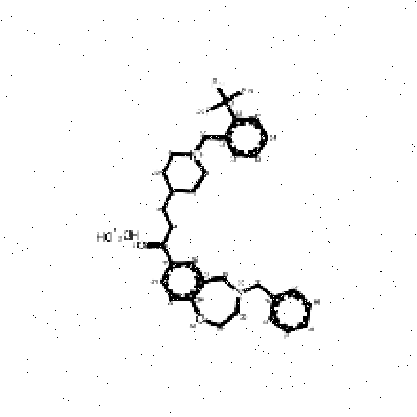 Cl.Cl.O=C(CCC1CCN(Cc2ccccc2C(F)(F)F)CC1)c1ccc2c(c1)CN(Cc1ccccc1)CCO2